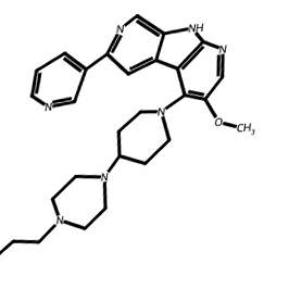 COc1cnc2[nH]c3cnc(-c4cccnc4)cc3c2c1N1CCC(N2CCN(CCO)CC2)CC1